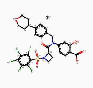 O=C([O-])c1ccc(N(Cc2ccc(C3CCOCC3)cc2)C(=O)[C@H]2CCN2S(=O)(=O)c2c(F)c(F)c(F)c(F)c2F)cc1O.[Na+]